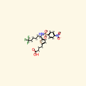 O=C(O)CCCc1ccc(C(CCCCC(F)(F)F)NS(=O)(=O)c2ccc([N+](=O)[O-])cc2)s1